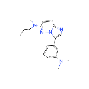 CCCN(C)c1ccc2ncc(-c3cccc(N(C)C)c3)n2n1